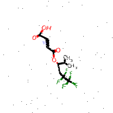 CC(C)C(CC(F)(F)C(F)(F)F)OC(=O)/C=C/C(=O)O